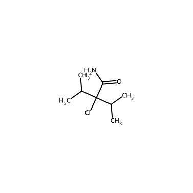 CC(C)C(Cl)(C(N)=O)C(C)C